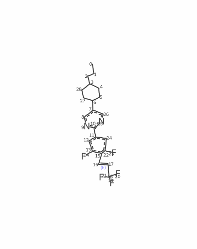 CCCC1CCC(c2cnc(-c3cc(F)c(/C=C/C(F)(F)F)c(F)c3)nc2)CC1